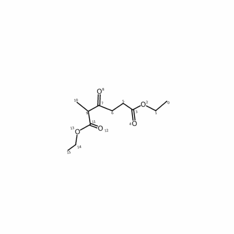 CCOC(=O)CCC(=O)C(C)C(=O)OCC